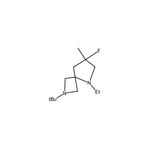 CCN1CC(C)(F)CC12CN(C(C)(C)C)C2